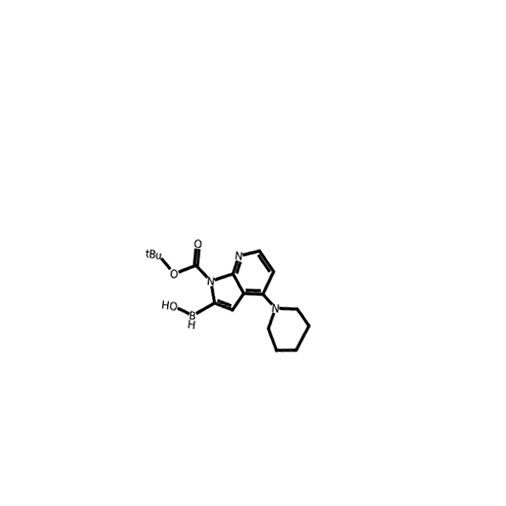 CC(C)(C)OC(=O)n1c(BO)cc2c(N3CCCCC3)ccnc21